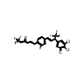 O=C(CCCc1ccc(/C=C/C(c2cc(Cl)c(Cl)c(Cl)c2)C(F)(F)F)cc1F)CC(F)(F)F